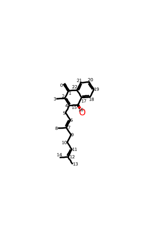 C=C1C(C)=C(C/C=C(\C)CCC=C(C)C)C(=O)c2ccccc21